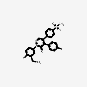 CS(=O)(=O)c1ccc(-c2cnn(-c3ccc(F)c(CN)c3)c(=O)c2-c2ccc(F)cc2)cc1